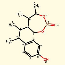 CC1OS(=O)OCC(C(C)C(C)c2ccc(O)cc2)C1C